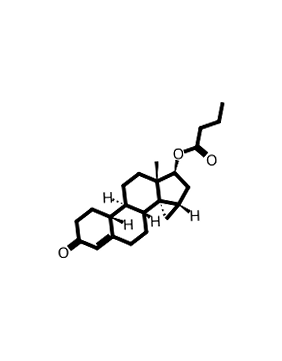 CCCC(=O)O[C@H]1C[C@@H]2C[C@@]23[C@@H]2CCC4=CC(=O)CC[C@@H]4[C@H]2CC[C@]13C